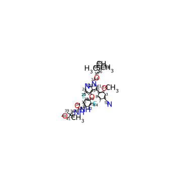 COc1cc(C#N)ccc1-c1cn(COCC[Si](C)(C)C)c2nccc(Oc3c(F)cc(NC(=O)NCC4(C)COC4)cc3F)c12